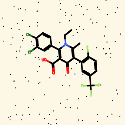 CCn1c(C)c(-c2cc(C(F)(F)F)ccc2F)c(=O)c(C(=O)O)c1-c1ccc(Cl)c(Cl)c1